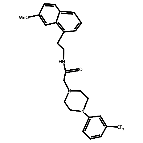 COc1ccc2cccc(CCNC(=O)CN3CCN(c4cccc(C(F)(F)F)c4)CC3)c2c1